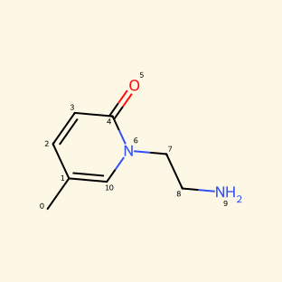 Cc1ccc(=O)n(CCN)c1